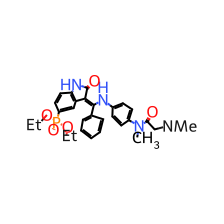 CCOP(=O)(OCC)c1ccc2c(c1)/C(=C(/Nc1ccc(N(C)C(=O)CNC)cc1)c1ccccc1)C(=O)N2